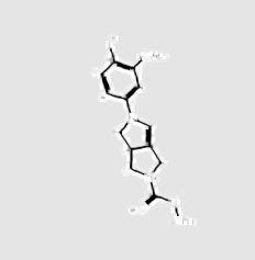 COc1cc(N2C=C3CN(C(=O)OC(C)(C)C)CC3C2)ccc1I